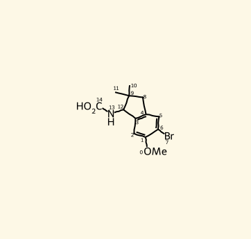 COc1cc2c(cc1Br)CC(C)(C)C2NC(=O)O